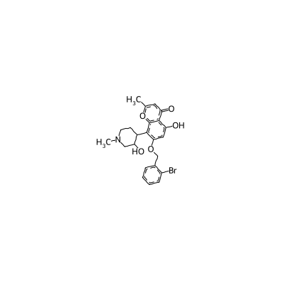 Cc1cc(=O)c2c(O)cc(OCc3ccccc3Br)c(C3CCN(C)CC3O)c2o1